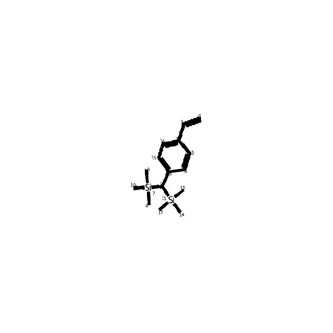 C=Cc1ccc(C([Si](C)(C)C)[Si](C)(C)C)cc1